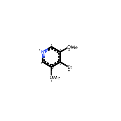 [CH2]Cc1c(OC)cncc1OC